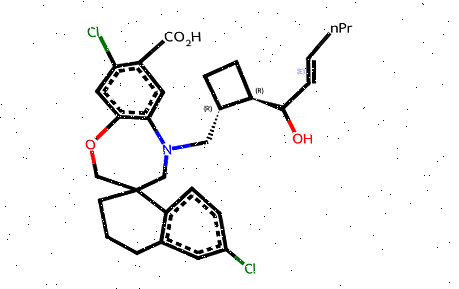 CCC/C=C/C(O)[C@@H]1CC[C@H]1CN1CC2(CCCc3cc(Cl)ccc32)COc2cc(Cl)c(C(=O)O)cc21